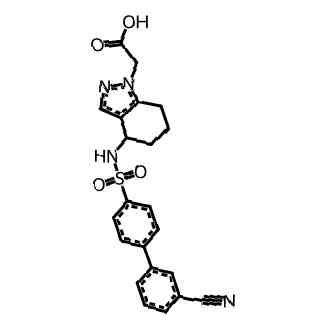 N#Cc1cccc(-c2ccc(S(=O)(=O)NC3CCCc4c3cnn4CC(=O)O)cc2)c1